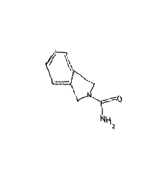 NC(=O)N1Cc2c[c]ccc2C1